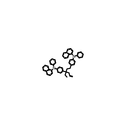 C=CCC(CC)(CCc1ccc(N(c2ccccc2)c2cccc3ccccc23)cc1)c1ccc(N(c2ccccc2)c2cccc3ccccc23)cc1